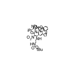 COc1cccc(F)c1-c1nc2c(cc1Cl)c(NCCNC(=O)OC(C)(C)C)c([N+](=O)[O-])c(=O)n2-c1c(C)ccnc1C(C)C